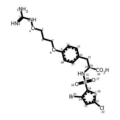 N=C(N)NOCCCOc1ccc(C[C@H](NS(=O)(=O)c2sc(Cl)cc2Br)C(=O)O)cc1